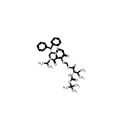 CC(C)[C@H](NC(=O)OC(C)(C)C)C(=O)OCOc1c2n(ncc1=O)[C@@H](C(c1ccccc1)c1ccccc1)CN(C(C)C)C2=O